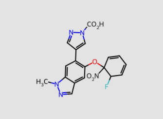 Cn1ncc2cc(OC3([N+](=O)[O-])C=CC=CC3F)c(-c3cnn(C(=O)O)c3)cc21